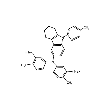 CCCCCCc1cc(N(c2ccc(C)c(CCCCCC)c2)c2ccc3c(c2)c2c(n3-c3ccc(C)cc3)CCCC2)ccc1C